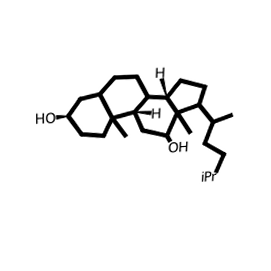 CC(C)CCC(C)C1CC[C@H]2C3CCC4C[C@H](O)CCC4(C)[C@H]3CC(O)C12C